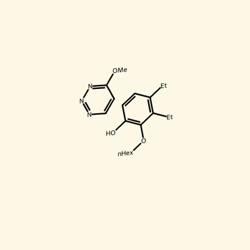 CCCCCCOc1c(O)ccc(CC)c1CC.COc1ccnnn1